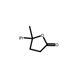 CC(C)C1(C)CCC(=O)O1